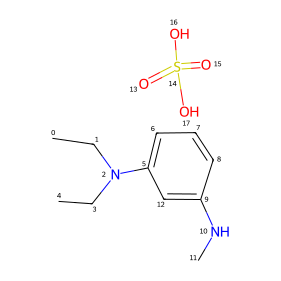 CCN(CC)c1cccc(NC)c1.O=S(=O)(O)O